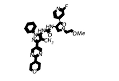 COCCN1C[C@@H](NC(=O)Nc2c(C)c(-c3cnc(C4CCOCC4)nc3)nn2-c2ccccc2)[C@H](c2ccnc(F)c2)O1